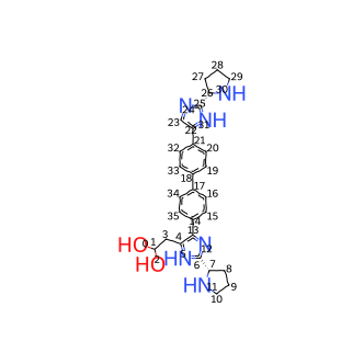 OC(O)Cc1[nH]c([C@@H]2CCCN2)nc1-c1ccc(-c2ccc(-c3cnc([C@@H]4CCCN4)[nH]3)cc2)cc1